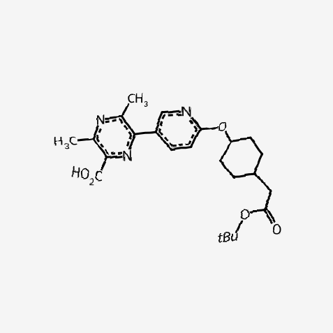 Cc1nc(C)c(-c2ccc(OC3CCC(CC(=O)OC(C)(C)C)CC3)nc2)nc1C(=O)O